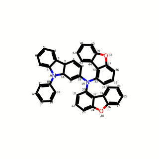 C1=CC2c3ccccc3N(c3ccccc3)C2C=C1N(c1cccc2oc3ccccc3c12)c1cccc2oc3ccccc3c12